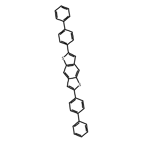 c1ccc(-c2ccc(-c3cc4cc5sc(-c6ccc(-c7ccccc7)cc6)cc5cc4s3)cc2)cc1